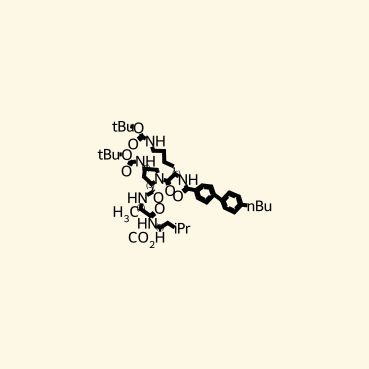 CCCCc1ccc(-c2ccc(C(=O)N[C@@H](CCCCNC(=O)OC(C)(C)C)C(=O)N3C[C@H](NC(=O)OC(C)(C)C)C[C@H]3C(=O)N[C@@H](C)C(=O)N[C@@H](CC(C)C)C(=O)O)cc2)cc1